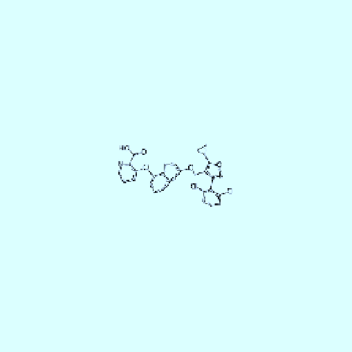 O=C(O)c1ncccc1Oc1cccc2cc(OCc3c(-c4c(Cl)cccc4Cl)noc3C3CC3)ccc12